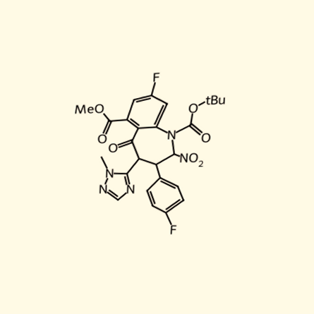 COC(=O)c1cc(F)cc2c1C(=O)C(c1ncnn1C)C(c1ccc(F)cc1)C([N+](=O)[O-])N2C(=O)OC(C)(C)C